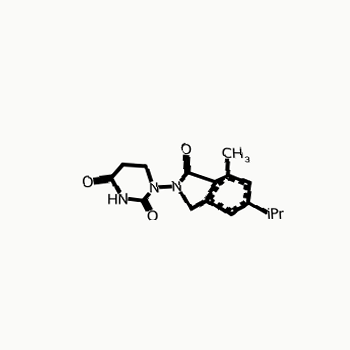 Cc1cc(C(C)C)cc2c1C(=O)N(N1CCC(=O)NC1=O)C2